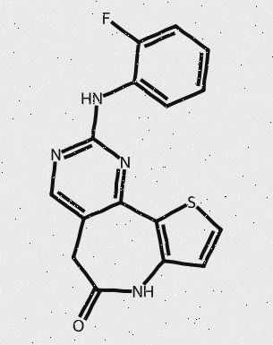 O=C1Cc2cnc(Nc3ccccc3F)nc2-c2sccc2N1